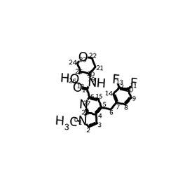 Cn1ccc2c(Cc3ccc(F)c(F)c3)cc(C(=O)NC3CCOCC3O)nc21